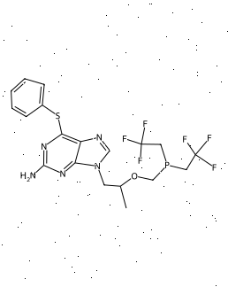 CC(Cn1cnc2c(Sc3ccccc3)nc(N)nc21)OCP(CC(F)(F)F)CC(F)(F)F